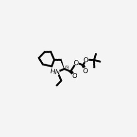 CCN[C@@H](CC1CCCCC1)C(=O)OC(=O)OC(C)(C)C